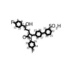 O=C1C(CC[C@H](O)c2ccc(F)cc2)C(c2ccc(-c3cccc(S(=O)(=O)O)c3)cc2)N1c1ccc(F)cc1